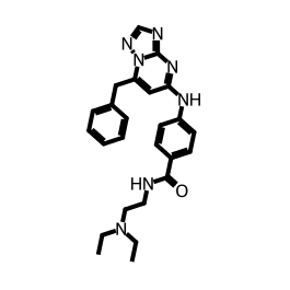 CCN(CC)CCNC(=O)c1ccc(Nc2cc(Cc3ccccc3)n3ncnc3n2)cc1